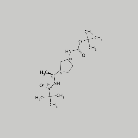 C[C@H](N[S@@+]([O-])C(C)(C)C)[C@H]1CC[C@@H](NC(=O)OC(C)(C)C)C1